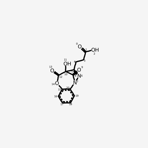 O=C(O)CCC1=NN2C(=O)C1(O)C(=O)Oc1ccccc12